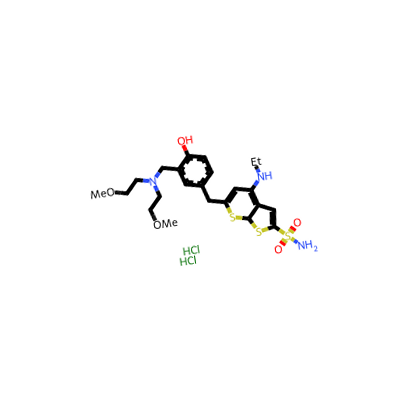 CCNC1=C2C=C(S(N)(=O)=O)SC2SC(Cc2ccc(O)c(CN(CCOC)CCOC)c2)=C1.Cl.Cl